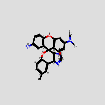 CCN(CC)c1ccc2c(c1)Oc1ccc(N)cc1C21Oc2ccc(C)cc2-c2nc3ccccn3c21